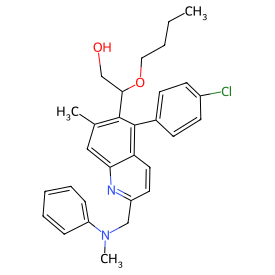 CCCCOC(CO)c1c(C)cc2nc(CN(C)c3ccccc3)ccc2c1-c1ccc(Cl)cc1